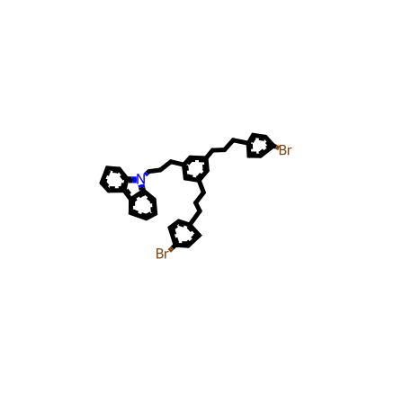 Brc1ccc(CCCc2cc(CCCc3ccc(Br)cc3)cc(CCCn3c4ccccc4c4ccccc43)c2)cc1